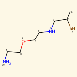 CC(S)CNCCOCCN